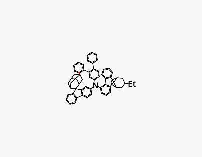 CCC1CC2CCCC(C1)C21c2ccccc2-c2c(N(c3ccc(-c4ccccc4)c(-c4ccccc4)c3)c3ccc4c(c3)C3(c5ccccc5-4)C4CC5CC(C4)CC3C5)cccc21